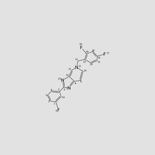 Fc1cccc(-c2nc3ccn(Cc4ccc(F)cc4F)cc-3n2)c1